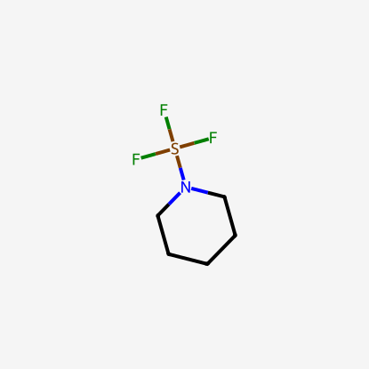 FS(F)(F)N1CCCCC1